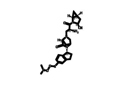 CN(C)OOSc1ccc2c(c1)CC[C@H]2N1C(=O)[C@@H]2CC1CN2C[C@H](N)C(=O)N1[C@H](C#N)C[C@@H]2C[C@@H]21